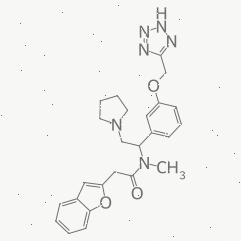 CN(C(=O)Cc1cc2ccccc2o1)C(CN1CCCC1)c1cccc(OCc2nn[nH]n2)c1